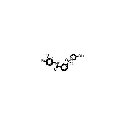 Cc1cc(NC(=O)c2cccc(S(=O)(=O)N3CCC(O)C3)c2)ccc1F